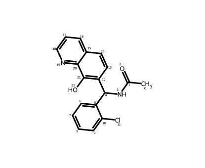 CC(=O)NC(c1ccccc1Cl)c1ccc2cccnc2c1O